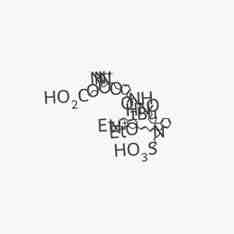 CC[N+](CC)=c1ccc2c(C(C)(C)C)cc(/C=C/C=C3/N(CCCS(=O)(=O)O)c4ccccc4C3(C)CCCC(=O)NCCNC(=O)c3cccc(OCC(N=[N+]=[N-])OCCOCC(=O)O)c3)oc-2c1